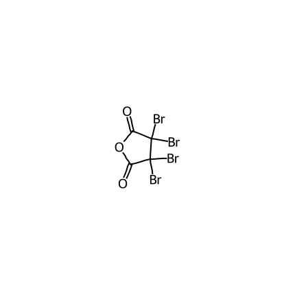 O=C1OC(=O)C(Br)(Br)C1(Br)Br